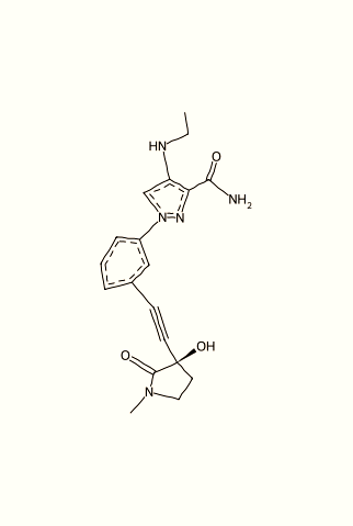 CCNc1cn(-c2cccc(C#C[C@]3(O)CCN(C)C3=O)c2)nc1C(N)=O